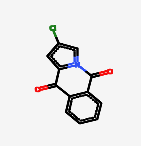 O=C1c2ccccc2C(=O)n2cc(Cl)cc21